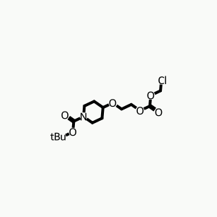 CC(C)(C)OC(=O)N1CCC(OCCOC(=O)OCCl)CC1